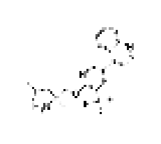 CC(C)C[C@](C)(N)COc1ncc(-c2ccnc3ccccc23)cc1C(F)(F)F